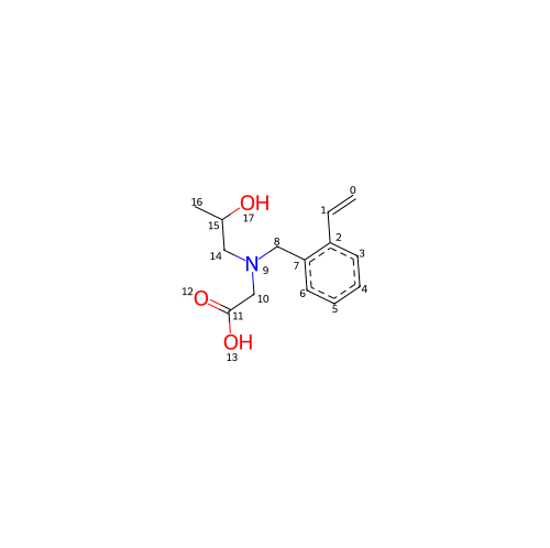 C=Cc1ccccc1CN(CC(=O)O)CC(C)O